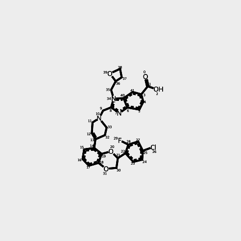 O=C(O)c1ccc2nc(CN3CC=C(c4cccc5c4OC(c4ccc(Cl)cc4F)CO5)CC3)n(CC3CCO3)c2c1